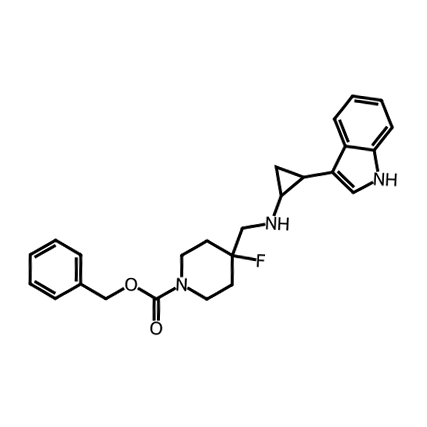 O=C(OCc1ccccc1)N1CCC(F)(CNC2CC2c2c[nH]c3ccccc23)CC1